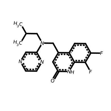 CC(C)CN(Cc1cc(=O)[nH]c2c(F)c(F)ccc12)c1cnccn1